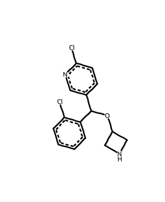 Clc1ccc(C(OC2CNC2)c2ccccc2Cl)cn1